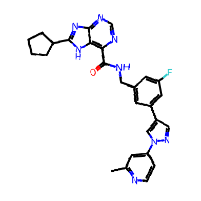 Cc1cc(-n2cc(-c3cc(F)cc(CNC(=O)c4ncnc5nc(C6CCCC6)[nH]c45)c3)cn2)ccn1